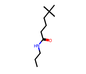 CCCNC(=O)CCCC(C)(C)C